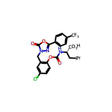 CC(C)C[C@H](NC(=O)Oc1ccc(Cl)cc1Cn1nc(-c2ccc(C(F)(F)F)cc2)oc1=O)C(=O)O